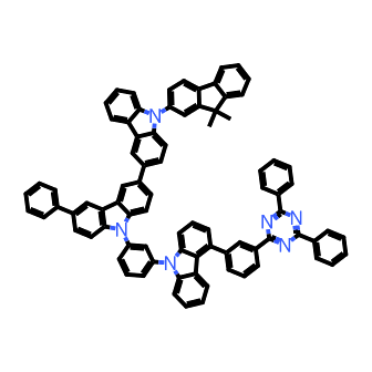 CC1(C)c2ccccc2-c2ccc(-n3c4ccccc4c4cc(-c5ccc6c(c5)c5cc(-c7ccccc7)ccc5n6-c5cccc(-n6c7ccccc7c7c(-c8cccc(-c9nc(-c%10ccccc%10)nc(-c%10ccccc%10)n9)c8)cccc76)c5)ccc43)cc21